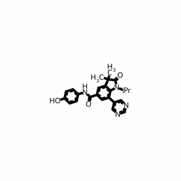 CC(C)N1C(=O)C(C)(C)c2cc(C(=O)Nc3ccc(O)cc3)cc(-c3cncnc3)c21